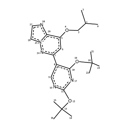 CC(C)COc1cc(-c2cnc(OC(C)(C)C)nc2OC(C)(C)C)nn2ccnc12